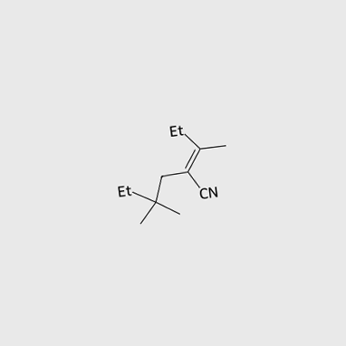 CC/C(C)=C(/C#N)CC(C)(C)CC